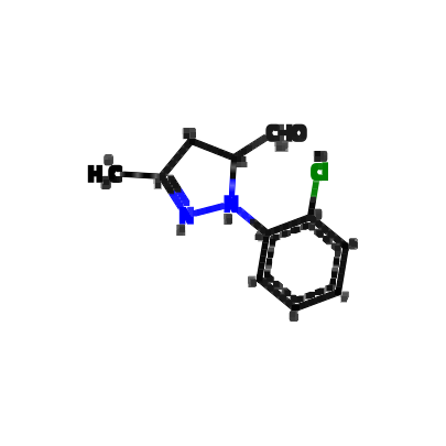 CC1=NN(c2ccccc2Cl)C(C=O)C1